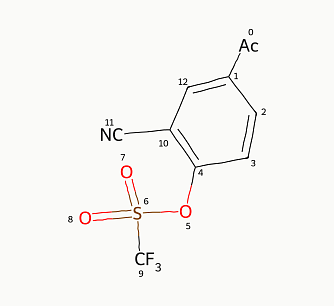 CC(=O)c1ccc(OS(=O)(=O)C(F)(F)F)c(C#N)c1